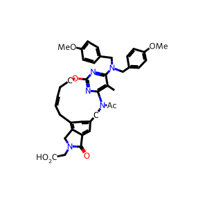 COc1ccc(CN(Cc2ccc(OC)cc2)c2nc3nc(c2C)N(C(C)=O)Cc2cc(c4c(c2)C(=O)N(CC(=O)O)C4)CC=CCCO3)cc1